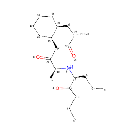 CCCC(=O)[C@H](CCC)N[C@@H](C)C(=O)C[C@H]1CCCC[C@H]1C[C@H](C)C=O